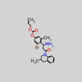 C=CCOC(=O)Oc1cc(C)c(C(N)CC(=O)N2CC(C)Cc3ccccc32)c(Br)c1